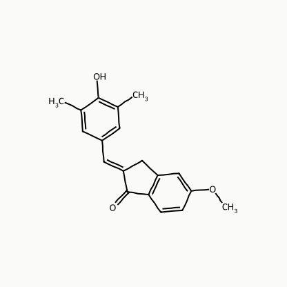 COc1ccc2c(c1)CC(=Cc1cc(C)c(O)c(C)c1)C2=O